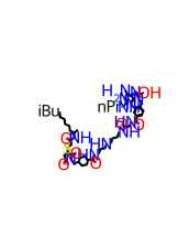 CCCNc1nc(N)c2nc(O)n(Cc3ccc(C(=O)NCC(=O)NCCCCNCCCNC(=O)C4CCC(CN5C(=O)CC(SCC(=O)NC(C)CCCCCCC(C)CC)C5=O)CC4)cc3)c2n1